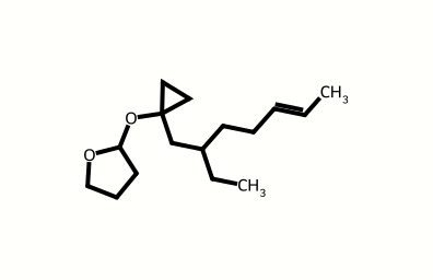 CC=CCCC(CC)CC1(OC2CCCO2)CC1